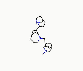 CN1CC2CCC1C(CN1CCCC3CC(C4CCC5CCN4C5)C1C3)C2